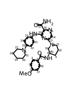 COc1ccc(C(=O)N[C@@H]2CCCN(c3cnc(C(N)=O)c(Nc4ccc(N5CCCCC5)cc4)n3)C2)cc1